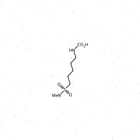 CNS(=O)(=O)CCCCCNC(=O)O